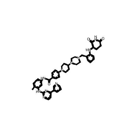 Cc1ccc(NC(=O)c2ccc(N3CCC(N4CCN(Cc5ccccc5NC5CCC(=O)NC5=O)CC4)CC3)cc2)cc1Nc1nccc(-c2cccnc2)n1